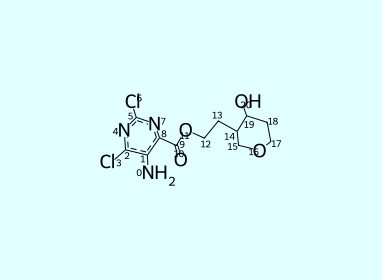 Nc1c(Cl)nc(Cl)nc1C(=O)OCCC1COCCC1O